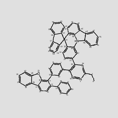 CCc1nnc(-c2cccc(-c3c(-c4ccccc4)ccc4c3oc3ccccc34)c2)c(-c2ccc3c(c2)-n2c4ccccc4c4cccc(c42)C32c3ccccc3-c3ccccc32)n1